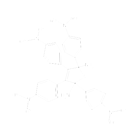 CCCN(CCC)c1ccc(C2=C(c3ccc(N(CCC)CCC)cc3)C(N)(c3ccc(N(CCC)CCC)cc3)SC2(N)c2ccc(N(CCC)CCC)cc2)cc1